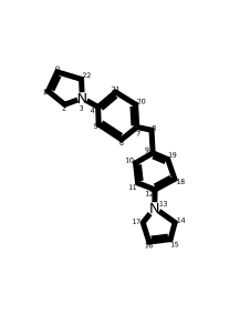 C1=CCN(c2ccc(Cc3ccc(N4CC=CC4)cc3)cc2)C1